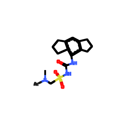 CC(=O)N(C)CS(=O)(=O)NC(=O)Nc1c2c(cc3c1CCC3)CCC2